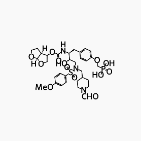 COc1ccc(S(=O)(=O)N(CC2CCN(C=O)CC2)C[C@@H](O)[C@H](Cc2ccc(OCP(=O)(O)O)cc2)NC(=O)O[C@H]2CO[C@H]3OCC[C@H]32)cc1